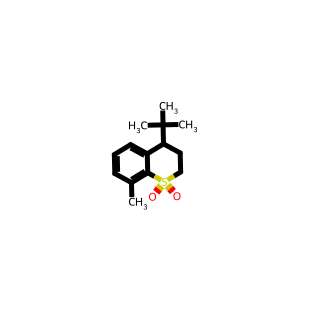 Cc1cccc2c1S(=O)(=O)CCC2C(C)(C)C